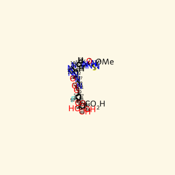 COc1nsc(NC(=O)N2C[C@H]3C[C@H](N(C)c4ncnc5c4ccn5C(=O)N(C)CCN(C)C(=O)OCc4ccc(O[C@@H]5O[C@H](C(=O)O)[C@@H](O)[C@H](O)[C@H]5O)c(F)c4)C[C@H]3C2)n1